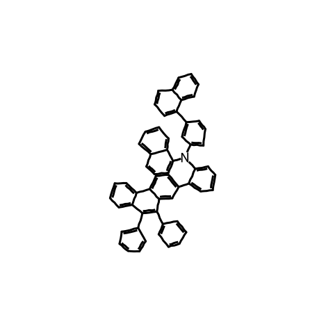 c1ccc(-c2c(-c3ccccc3)c3cc(-c4ccccc4N(c4cccc(-c5cccc6ccccc56)c4)c4cccc5ccccc45)ccc3c3ccccc23)cc1